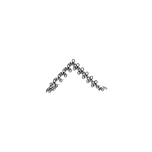 [O]=[Nb](=[O])[O-].[O]=[Nb](=[O])[O-].[O]=[Nb](=[O])[O-].[O]=[Nb](=[O])[O-].[O]=[Nb](=[O])[O-].[O]=[Ti]([O-])[O-].[O]=[Ti]([O-])[O-].[O]=[Ti]([O-])[O-].[O]=[Ti]([O-])[O-].[O]=[Ti]([O-])[O-].[Pb+2].[Pb+2].[Pb+2].[Sc+3].[Sc+3].[Sc+3]